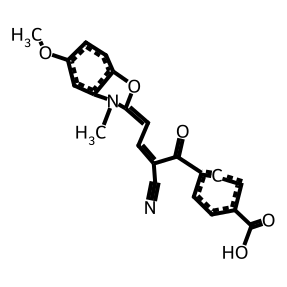 COc1ccc2c(c1)N(C)C(=CC=C(C#N)C(=O)c1ccc(C(=O)O)cc1)O2